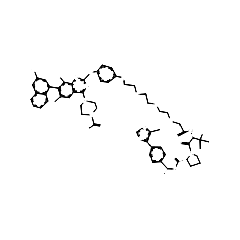 CC(=O)N1CCN(c2nc(Nc3ccc(OCCOCCOCCOCC(=O)N[C@H](C(=O)N4C[C@H](O)C[C@H]4C(=O)N[C@@H](C)c4ccc(-c5scnc5C)cc4)C(C)(C)C)cc3)nc3c(F)c(-c4cc(O)cc5ccccc45)c(Cl)cc23)CC1